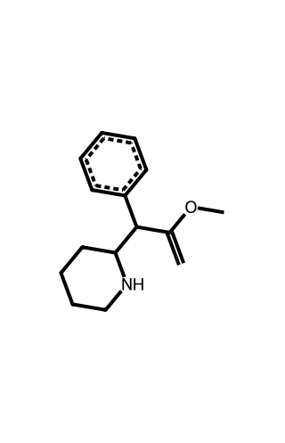 C=C(OC)C(c1ccccc1)C1CCCCN1